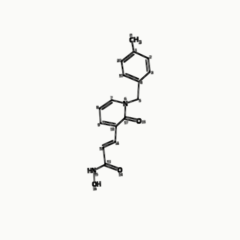 Cc1ccc(Cn2cccc(/C=C/C(=O)NO)c2=O)cc1